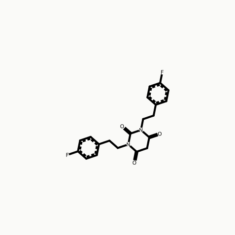 O=C1CC(=O)N(CCc2ccc(F)cc2)C(=O)N1CCc1ccc(F)cc1